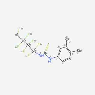 N#Cc1ccc(NC(=S)NC(F)(F)C(F)(F)C(F)(F)CF)cc1C(F)(F)F